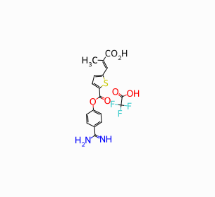 C/C(=C\c1ccc(C(=O)Oc2ccc(C(=N)N)cc2)s1)C(=O)O.O=C(O)C(F)(F)F